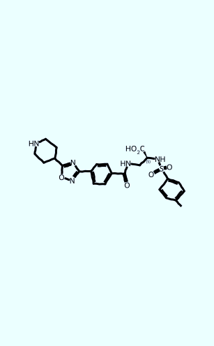 Cc1ccc(S(=O)(=O)N[C@@H](CNC(=O)c2ccc(-c3noc(C4CCNCC4)n3)cc2)C(=O)O)cc1